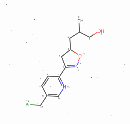 CC(CO)CC1CC(c2ccc(CBr)cn2)=NO1